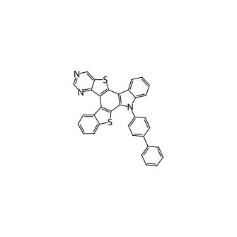 c1ccc(-c2ccc(-n3c4ccccc4c4c5sc6cncnc6c5c5c6ccccc6sc5c43)cc2)cc1